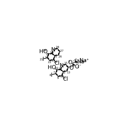 O=S([O-])([O-])=S.Oc1c(I)cc(Cl)c2cccnc12.Oc1c(I)cc(Cl)c2cccnc12.[Na+].[Na+]